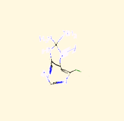 NC1(N)Nc2ncnc(Cl)c2N1